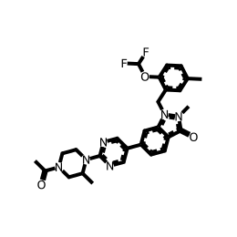 CC(=O)N1CCN(c2ncc(-c3ccc4c(=O)n(C)n(Cc5cc(C)ccc5OC(F)F)c4c3)cn2)C(C)C1